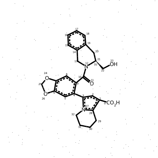 O=C(O)c1cc(-c2cc3c(cc2C(=O)N2Cc4ccccc4C[C@H]2CO)OCO3)n2c1CCCC2